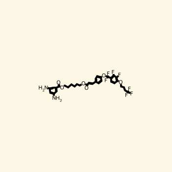 Nc1cc(N)cc(C(=O)OCCCCCCOC(=O)C=Cc2ccc(OC(F)(F)c3ccc(OCCCC(F)(F)F)c(F)c3F)cc2)c1